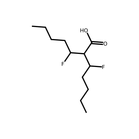 CCCCC(F)C(C(=O)O)C(F)CCCC